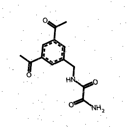 CC(=O)c1cc(CNC(=O)C(N)=O)cc(C(C)=O)c1